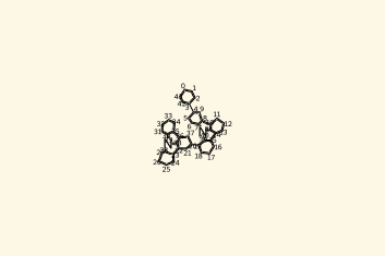 c1ccc(-c2ccc3c(c2)c2cccc4c5cccc(-c6cc7c8ccccc8n8c9ccccc9c(c6)c78)c5n3c24)cc1